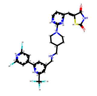 O=C1NC(=O)C(=Cc2ccnc(N3CCC(CNCc4cc(-c5cc(F)nc(F)c5)nc(C(F)(F)F)c4)CC3)n2)S1